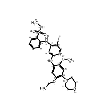 CCOc1cc(Nc2ncc(F)c(Nc3ccccc3S(=O)(=O)NC)n2)c(OC)cc1N1CCOCC1